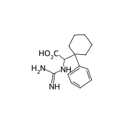 N=C(N)NC(C(=O)O)C1(c2ccccc2)CCCCC1